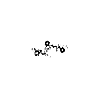 Cc1ccccc1C(=O)NCCCOc1ccccc1O[PH](=O)COC(C)Cn1cnc2c(N)ncnc21